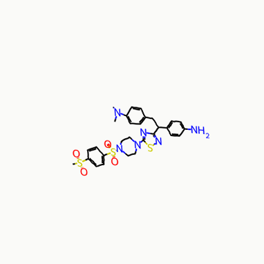 CN(C)c1ccc(CC(c2ccc(N)cc2)c2nsc(N3CCN(S(=O)(=O)c4ccc(S(C)(=O)=O)cc4)CC3)n2)cc1